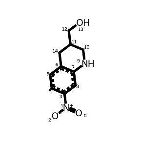 O=[N+]([O-])c1ccc2c(c1)NCC(CO)C2